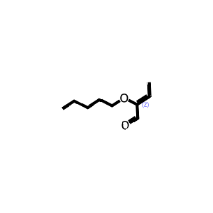 C/C=C(/C=O)OCCCCC